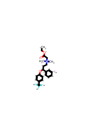 CCOC(=O)C[N+](C)(C)CCC(Oc1ccc(C(F)(F)F)cc1)c1ccccc1.[I-]